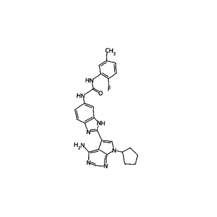 Cc1ccc(F)c(NC(=O)Nc2ccc3nc(-c4cn(C5CCCC5)c5ncnc(N)c45)[nH]c3c2)c1